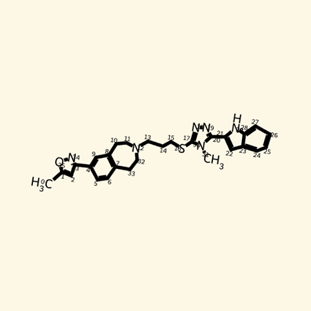 Cc1cc(-c2ccc3c(c2)CCN(CCCSc2nnc(-c4cc5ccccc5[nH]4)n2C)CC3)no1